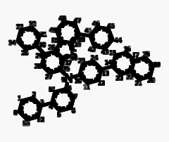 c1ccc(-c2cccc(N(c3ccc(-c4ccc5ccccc5c4)cc3)c3ccc(-c4ccccc4)c4c3sc3c(-c5ccccc5)cccc34)c2)cc1